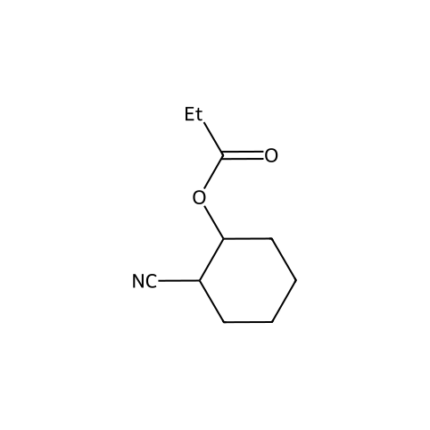 CCC(=O)OC1CCCCC1C#N